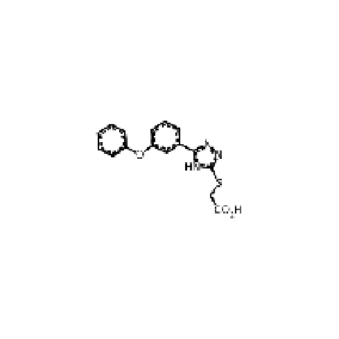 O=C(O)CSc1nnc(-c2cccc(Oc3ccccc3)c2)[nH]1